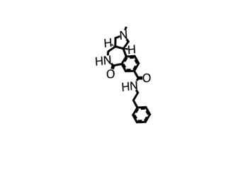 CN1C[C@@H]2CNC(=O)c3cc(C(=O)NCCc4ccccc4)ccc3[C@H]2C1